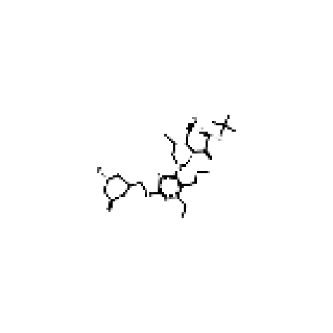 C=C1C[C@H](F)C[C@@H](COc2nc(CC)c(CCC)c(N(CCC)C[C@H](CC#N)C(=C)C(=O)OC(C)(C)C)n2)C1